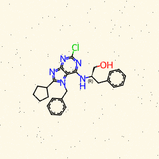 OC[C@@H](Cc1ccccc1)Nc1nc(Cl)nc2nc(C3CCCC3)n(Cc3ccccc3)c12